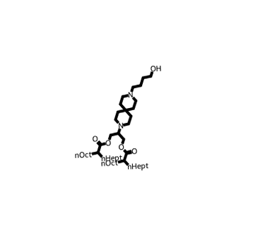 CCCCCCCCC(CCCCCCC)C(=O)OCC(COC(=O)C(CCCCCCC)CCCCCCCC)N1CCC2(CCN(CCCCO)CC2)CC1